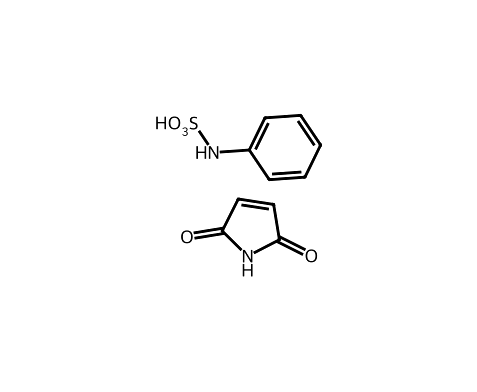 O=C1C=CC(=O)N1.O=S(=O)(O)Nc1ccccc1